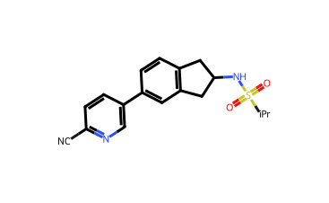 CC(C)S(=O)(=O)NC1Cc2ccc(-c3ccc(C#N)nc3)cc2C1